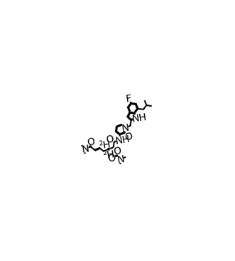 [2H]C([2H])(C/C=C/C(=O)N(C)C)C(OC(=O)N(C)C)C(=O)Nc1cccn(Cc2cc3cc(F)cc(CC(C)C)c3[nH]2)c1=O